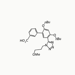 CCCCOc1cc(OCCCC)c(-c2nnnn2CCCOC)cc1-c1cccc(C(=O)O)c1